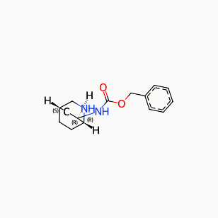 O=C(N[C@@H]1C[C@@H]2CC[C@H]1NC2)OCc1ccccc1